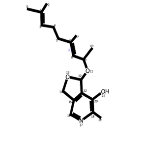 CC(C)=CCC/C(C)=C/C(C)OC1OCc2cnc(C)c(O)c21